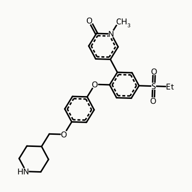 CCS(=O)(=O)c1ccc(Oc2ccc(OCC3CCNCC3)cc2)c(-c2ccc(=O)n(C)c2)c1